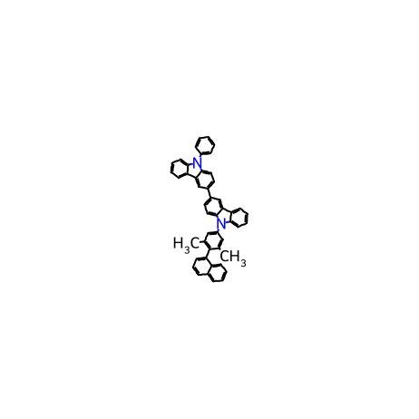 Cc1cc(-n2c3ccccc3c3cc(-c4ccc5c(c4)c4ccccc4n5-c4ccccc4)ccc32)cc(C)c1-c1cccc2ccccc12